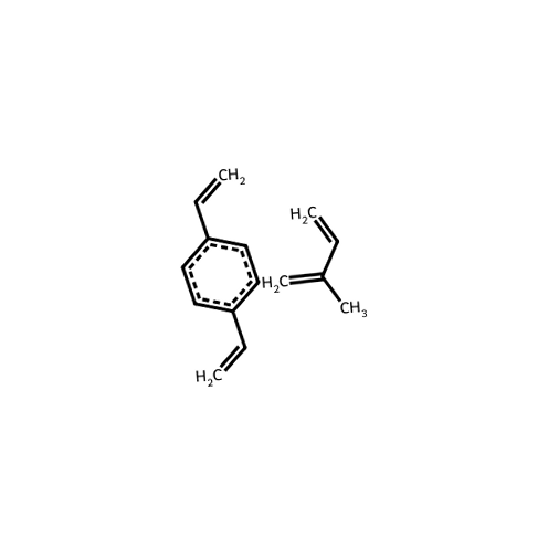 C=CC(=C)C.C=Cc1ccc(C=C)cc1